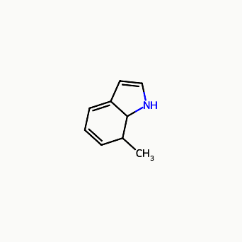 CC1C=CC=C2C=CNC21